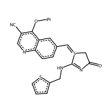 CC(C)Oc1c(C#N)cnc2ccc(/C=S3/CC(=O)N=C3NCc3cccs3)cc12